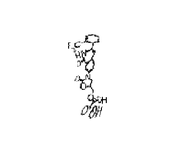 O=C1OC(COP(=O)(O)O)CN1c1ccc2cc(-c3ccccc3C(F)(F)F)[nH]c(=O)c2c1